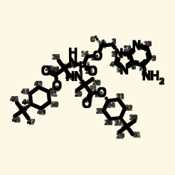 C[C@H](Cn1cnc2c(N)ccnc21)OCP(=O)(NC(C)(C)C(=O)O[C@H]1CC[C@H](C(C)(C)C)CC1)NC(C)(C)C(=O)O[C@H]1CC[C@H](C(C)(C)C)CC1